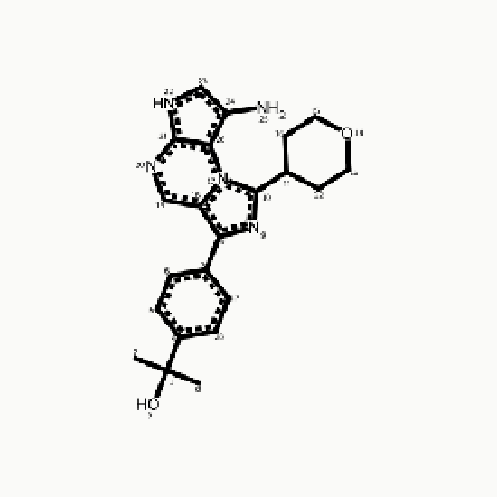 CC(C)(O)c1ccc(-c2nc(C3CCOCC3)n3c2cnc2[nH]cc(N)c23)cc1